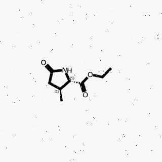 CCOC(=O)[C@H]1NC(=O)C[C@@H]1C